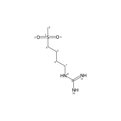 CS(=O)(=O)CCCCNC([NH])=N